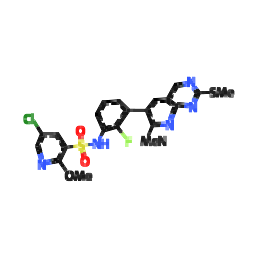 CNc1nc2nc(SC)ncc2cc1-c1cccc(NS(=O)(=O)c2cc(Cl)cnc2OC)c1F